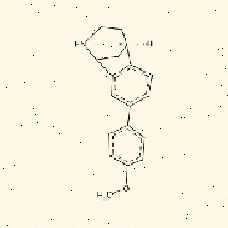 COc1ccc(-c2ccc3c(c2)C2C[C@H]3CCN2)cc1